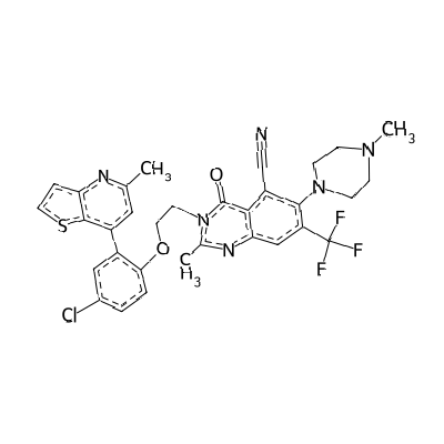 Cc1cc(-c2cc(Cl)ccc2OCCn2c(C)nc3cc(C(F)(F)F)c(N4CCN(C)CC4)c(C#N)c3c2=O)c2sccc2n1